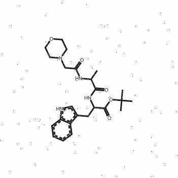 CC(NC(=O)CN1CCOCC1)C(=O)NC(Cc1c[nH]c2ccccc12)C(=O)OC(C)(C)C